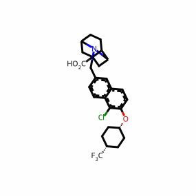 O=C(O)C12CC3CCC1C(C2)N3Cc1ccc2c(Cl)c(O[C@H]3CC[C@@H](C(F)(F)F)CC3)ccc2c1